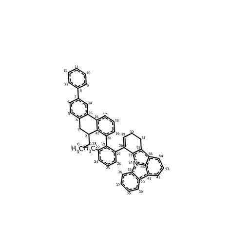 CCC1Cc2ccc(-c3ccccc3)cc2-c2cccc(-c3c(C)cccc3C3=CCCc4c3n3c5ccccc5c5cccc4c53)c21